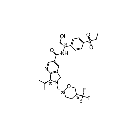 CCS(=O)(=O)c1ccc([C@H](CO)NC(=O)c2cnc3c(c2)CN(C[C@H]2CC[C@H](C(F)(F)F)CO2)[C@H]3C(C)C)cc1